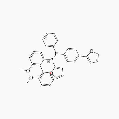 COc1ccc[c]c1-c1c(OC)cccc1[P@@](c1ccco1)P(c1ccccc1)c1ccc(-c2ccco2)cc1